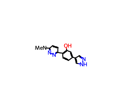 CNc1ccc(-c2ccc(-c3cn[nH]c3)cc2O)nn1